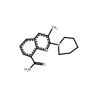 Cc1cc2cccc(C(N)=O)c2nc1N1CCCCC1